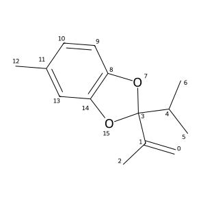 C=C(C)C1(C(C)C)Oc2ccc(C)cc2O1